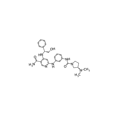 CN(C)[C@@H]1CCN(C(=O)Nc2cccc(Nc3cc(N[C@H](CO)c4ccccc4)c(C(N)=O)cn3)c2)C1